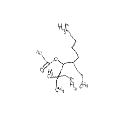 CCCCC(CC)C(OC(=O)O)C(C)(C)C